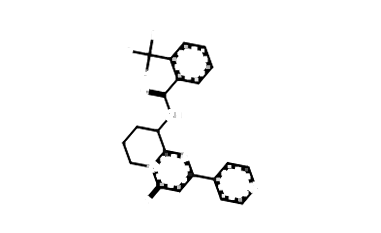 O=C(NC1CCCn2c1nc(-c1ccncc1)cc2=O)c1ccccc1C(F)(F)F